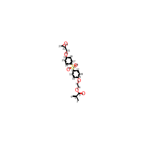 C=C(C)C(=O)OCCOc1ccc(S(=O)(=O)c2ccc(OCC3CO3)cc2)cc1